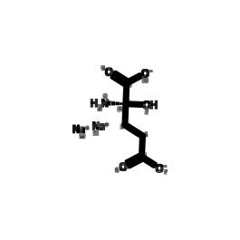 N[C@](O)(CCC(=O)[O-])C(=O)[O-].[Na+].[Na+]